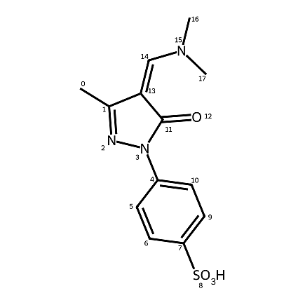 CC1=NN(c2ccc(S(=O)(=O)O)cc2)C(=O)C1=CN(C)C